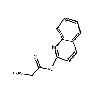 O=C(CS)Nc1ccc2ccccc2n1